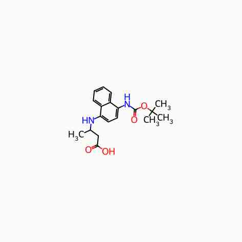 CC(CC(=O)O)Nc1ccc(NC(=O)OC(C)(C)C)c2ccccc12